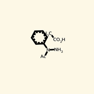 CC(=O)N(N)c1ccccc1.CC(=O)O